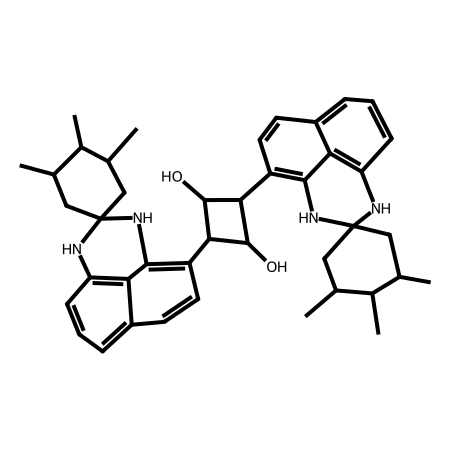 CC1CC2(CC(C)C1C)Nc1cccc3ccc(C4C(O)C(c5ccc6cccc7c6c5NC5(CC(C)C(C)C(C)C5)N7)C4O)c(c13)N2